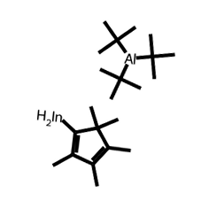 CC1=C(C)C(C)(C)[C]([InH2])=C1C.C[C](C)(C)[Al]([C](C)(C)C)[C](C)(C)C